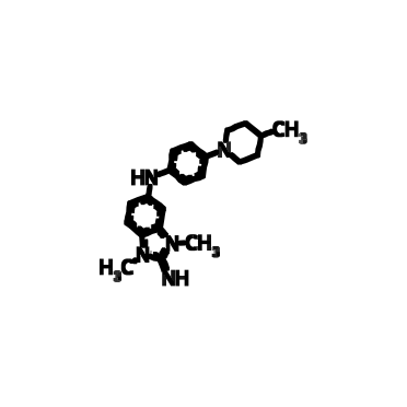 CC1CCN(c2ccc(Nc3ccc4c(c3)n(C)c(=N)n4C)cc2)CC1